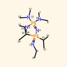 CCN=P(N=P(N(C)C)(N(C)C)N(C)C)(C(C)C)C(C)C